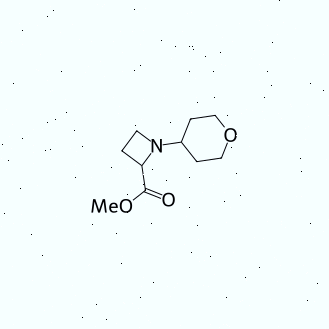 COC(=O)C1CCN1C1CCOCC1